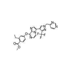 CCc1cc(Oc2nccn3c(-c4cn(Cc5ccncn5)nc4C(F)(F)F)cnc23)ccc1C(=O)OC